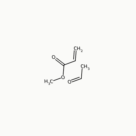 C=CC(=O)OC.CC=O